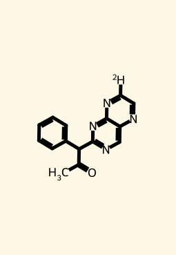 [2H]c1cnc2cnc(C(C(C)=O)c3ccccc3)nc2n1